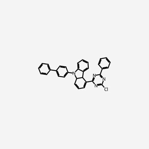 Clc1nc(C2=CC=CC3C2c2ccccc2N3c2ccc(-c3ccccc3)cc2)nc(-c2ccccc2)n1